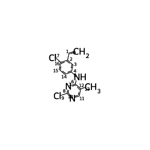 C=Cc1cc(Nc2nc(Cl)ncc2C)ccc1Cl